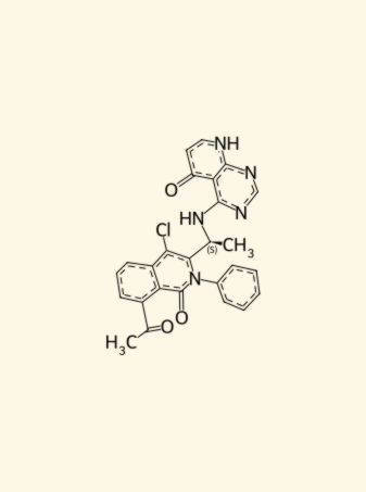 CC(=O)c1cccc2c(Cl)c([C@H](C)Nc3ncnc4[nH]ccc(=O)c34)n(-c3ccccc3)c(=O)c12